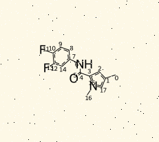 Cc1cc(C(=O)Nc2ccc(F)c(F)c2)n(C)c1